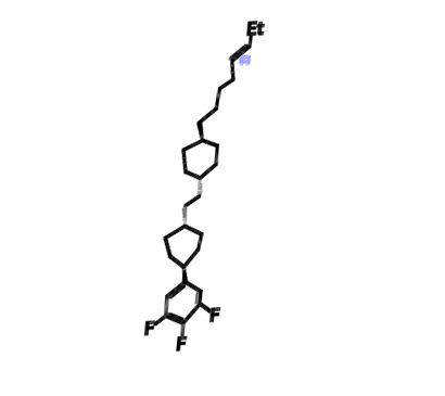 CC/C=C/CCCC[C@H]1CC[C@H](CC[C@H]2CC[C@H](c3cc(F)c(F)c(F)c3)CC2)CC1